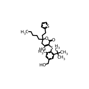 CCCCCC1(CCc2cccs2)CC(O)=C(Sc2c(C)cc(CO)cc2C(C)(C)C)C(=O)O1